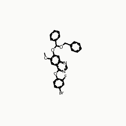 COc1cc2c(Oc3ccc(Br)cc3F)ncnc2cc1OC(OCc1ccccc1)c1ccccc1